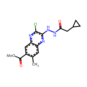 COC(=O)c1cc2nc(Cl)c(NNC(=O)CC3CC3)nc2cc1C